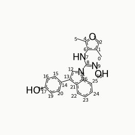 Cc1coc(C)c1NC(=NO)n1cc(-c2ccc(O)cc2)c2ccccc21